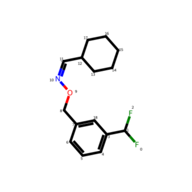 FC(F)c1cccc(CO/N=[C]\C2CCCCC2)c1